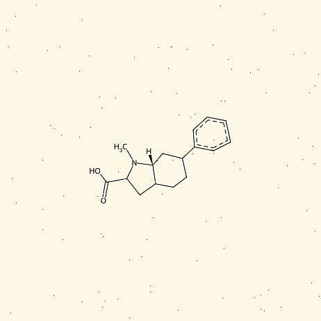 CN1C(C(=O)O)CC2CCC(c3ccccc3)C[C@H]21